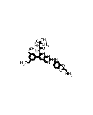 CCc1cc(OC)cc(-c2cc3cnc(Nc4ccc5c(c4)OC(CN)O5)nc3nc2NC(=O)NC(C)(C)C)c1